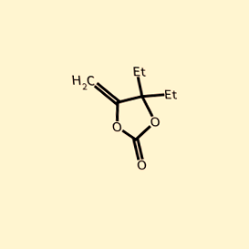 C=C1OC(=O)OC1(CC)CC